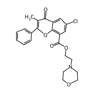 Cc1c(-c2ccccc2)oc2c(C(=O)OCCN3CCOCC3)cc(Cl)cc2c1=O